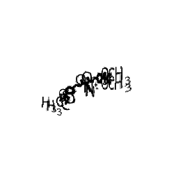 CCN(CC)S(=O)(=O)c1ccc(CCC(=O)C(=[N+]=[N-])C(=O)CCc2ccc(S(=O)(=O)N(CC)CC)cc2)cc1